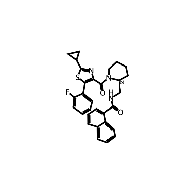 O=C(NC[C@@H]1CCCCN1C(=O)c1nc(C2CC2)sc1-c1ccccc1F)c1cccc2ccccc12